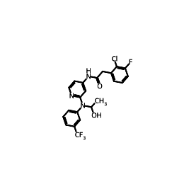 CC(O)N(c1cccc(C(F)(F)F)c1)c1cc(NC(=O)Cc2cccc(F)c2Cl)ccn1